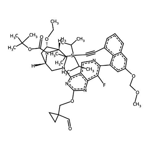 CCO[C@H]1C[C@H]2CN(c3nc(OCC4(C=O)CC4)nc4c(F)c(-c5cc(OCOC)cc6cccc(C#C[Si](C(C)C)(C(C)C)C(C)C)c56)ncc34)C[C@@H]1N2C(=O)OC(C)(C)C